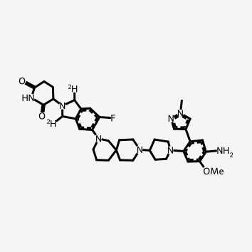 [2H]C1c2cc(F)c(N3CCCC4(CCN(C5CCN(c6cc(OC)c(N)cc6-c6cnn(C)c6)CC5)CC4)C3)cc2C([2H])N1C1CCC(=O)NC1=O